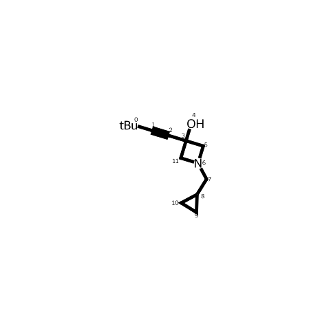 CC(C)(C)C#CC1(O)CN(CC2CC2)C1